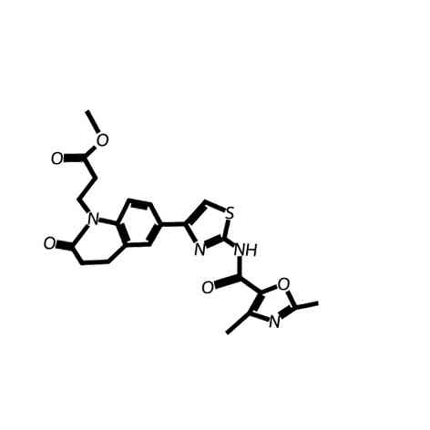 COC(=O)CCN1C(=O)CCc2cc(-c3csc(NC(=O)c4oc(C)nc4C)n3)ccc21